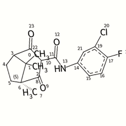 CC1(C)C2CC[C@]1(C)C(=O)C(C(=O)Nc1ccc(F)c(Cl)c1)C2=O